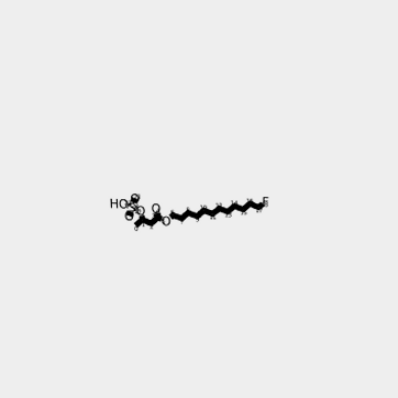 CC(CC(=O)OCCCCCCCCCCCCF)OS(=O)(=O)O